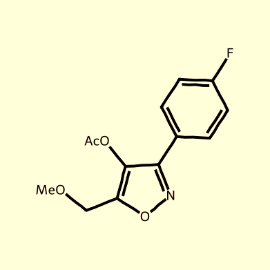 COCc1onc(-c2ccc(F)cc2)c1OC(C)=O